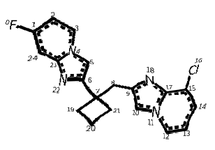 Fc1ccn2cc(C3(Cc4cn5cccc(Cl)c5n4)CCC3)nc2c1